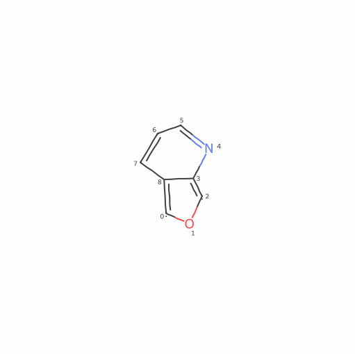 [c]1o[c]c2ncccc12